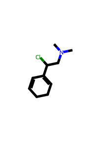 CN(C)CC(Cl)C1=CCCC=C1